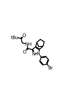 CC(C)(C)C(=O)CNC(=O)c1nn(-c2ccc(Br)cc2)c2c1C1CCC2C1